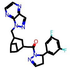 O=C(C1CC(Cn2ncc3nccnc32)C2CC1C2)N1N=CCC1c1cc(F)cc(F)c1